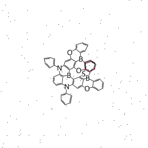 c1ccc(N2c3cccc4c3B(c3c2cc2c5c3Oc3ccccc3B5c3ccccc3O2)c2c(cc3c5c2Sc2ccccc2B5c2ccccc2O3)N4c2ccccc2)cc1